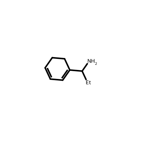 CCC(N)C1=CC=CCC1